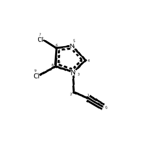 C#CCn1cnc(Cl)c1Cl